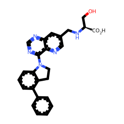 O=C(O)[C@H](CO)NCc1cnc2c(N3CCc4c(-c5ccccc5)cccc43)ncnc2c1